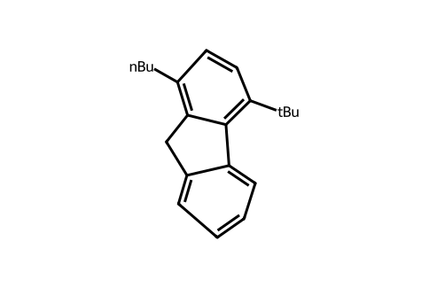 CCCCc1ccc(C(C)(C)C)c2c1Cc1ccccc1-2